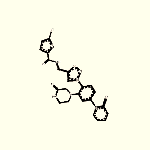 O=C1CN(c2cc(-n3ccccc3=O)ccc2-n2cc(CNC(=O)c3ccc(Cl)s3)nn2)CCN1